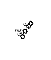 CC(C)(C)OC(=O)C1(c2ccc(N3Cc4ccccc4C3=O)cc2)CCCC1